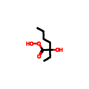 CCCCC(O)(CC)C(=O)OO